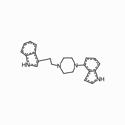 c1ccc2c(CCN3CCN(c4cccc5[nH]ccc45)CC3)c[nH]c2c1